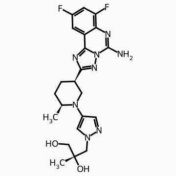 C[C@H]1CC[C@@H](c2nc3c4cc(F)cc(F)c4nc(N)n3n2)CN1c1cnn(C[C@](C)(O)CO)c1